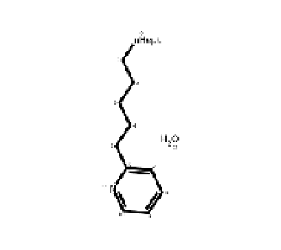 CCCCCCCCCCCCc1ccccn1.O